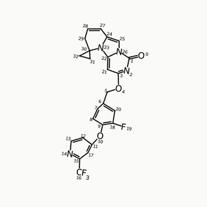 O=c1nc(OCc2ccc(Oc3ccnc(C(F)(F)F)c3)c(F)c2)cc2n3c(cn12)C=CCC31CC1